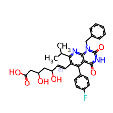 CC(C)c1nc2c(c(-c3ccc(F)cc3)c1/C=C/C(O)CC(O)CC(=O)O)c(=O)[nH]c(=O)n2Cc1ccccc1